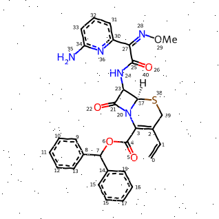 C=CC1=C(C(=O)OC(c2ccccc2)c2ccccc2)N2C(=O)C(NC(=O)/C(=N\OC)c3cccc(N)n3)[C@H]2SC1